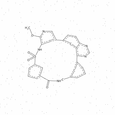 COc1ncc2cc1NS(=O)(=O)c1cccc(c1)C(=O)NCc1cccc(c1)-c1ncnc3ccc-2cc13